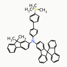 CC1(C)c2ccccc2-c2ccc(N(c3ccc(-c4ccc(S(C)(C)C)cc4)cc3)c3ccc4c(c3)-c3ccccc3C43c4ccccc4-c4ccccc43)cc21